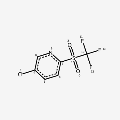 O=S(=O)(c1ccc(Cl)cn1)C(F)(F)F